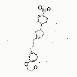 O=[N+]([O-])c1ccc(C2CCN(CCCc3ccc4c(c3)OCCO4)C2)cc1